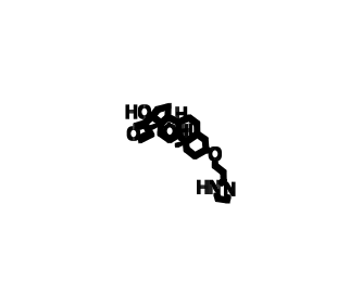 C[C@]12CCC(OCCC3=NCCN3)CC1CC[C@@H]1[C@H]2CC[C@]2(C)C(O)(c3ccoc3)CC[C@@]12O